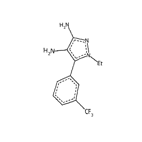 CCn1nc(N)c(N)c1-c1cccc(C(F)(F)F)c1